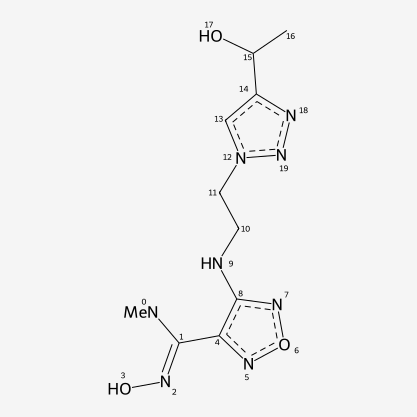 CNC(=NO)c1nonc1NCCn1cc(C(C)O)nn1